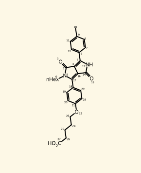 CCCCCCN1C(=O)C2=C(c3ccc(C)cc3)NC(=O)C2=C1c1ccc(OCCCCC(=O)O)cc1